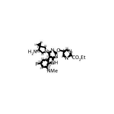 CCOC(=O)c1ncc(Oc2nc(N3C[C@H](N)C4(CC4)C3)c3c(n2)[nH]c2c(NC)cc(F)cc23)cn1